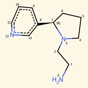 NCCN1CCC[C@@H]1c1cccnc1